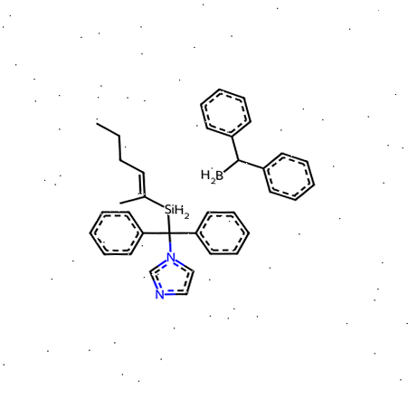 BC(c1ccccc1)c1ccccc1.CCCC=C(C)[SiH2]C(c1ccccc1)(c1ccccc1)n1ccnc1